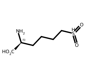 N[C@@H](CCCC[SH](=O)=O)C(=O)O